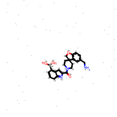 NCc1ccc2c(c1)C1(CCN(C(=O)C3=CC4=C(B(O)O)C=CCC4=N3)CC1)CO2